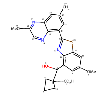 COc1cc(C(O)C2(C(=O)O)CCC2)c2nc(-c3cc(C)cc4nc(OC)cnc34)sc2c1